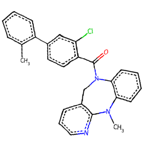 Cc1ccccc1-c1ccc(C(=O)N2Cc3cccnc3N(C)c3ccccc32)c(Cl)c1